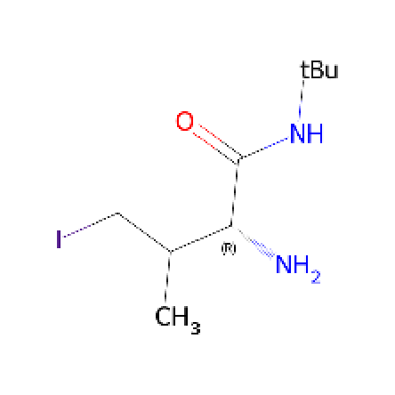 CC(CI)[C@@H](N)C(=O)NC(C)(C)C